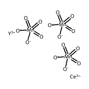 [Ce+3].[O]=[Mn](=[O])(=[O])([O-])[O-].[O]=[Mn](=[O])(=[O])([O-])[O-].[O]=[Mn](=[O])(=[O])([O-])[O-].[Y+3]